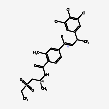 Cc1cc(/C(F)=C/C(c2cc(Cl)c(Cl)c(Cl)c2)C(F)(F)F)ccc1C(=O)N[C@H](C)CS(=O)(=O)CC(F)(F)F